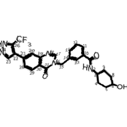 O=C(NC1CCC(O)CC1)c1cccc(Cn2cnc3cc(-c4cn[nH]c4C(F)(F)F)ccc3c2=O)c1